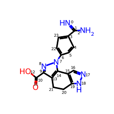 N=C(N)c1ccc(-n2nc(C(=O)O)c3c2-c2cn[nH]c2CC3)cc1